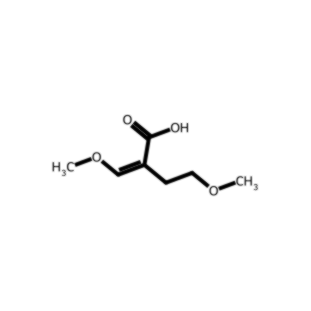 COC=C(CCOC)C(=O)O